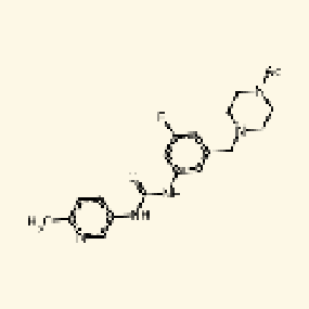 CC(=O)N1CCN(Cc2cc(F)cc(NC(=O)Nc3ccc(C)nc3)c2)CC1